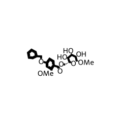 COc1cc(OCc2ccccc2)ccc1C(=O)OC[C@H]1O[C@@H](OC)[C@H](O)[C@@H](O)[C@@H]1O